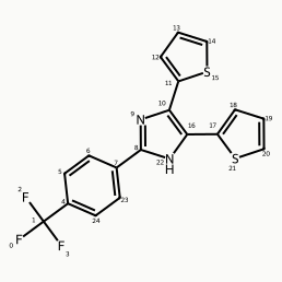 FC(F)(F)c1ccc(-c2nc(-c3cccs3)c(-c3cccs3)[nH]2)cc1